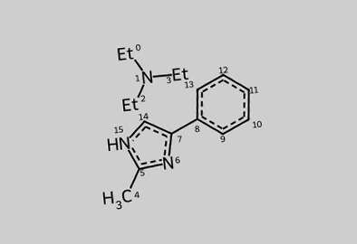 CCN(CC)CC.Cc1nc(-c2ccccc2)c[nH]1